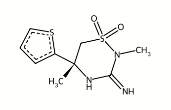 CN1C(=N)N[C@](C)(c2cccs2)CS1(=O)=O